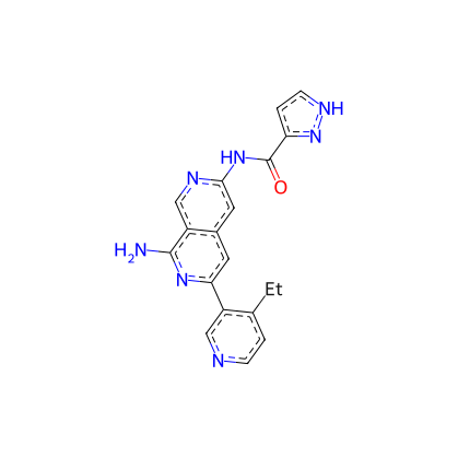 CCc1ccncc1-c1cc2cc(NC(=O)c3cc[nH]n3)ncc2c(N)n1